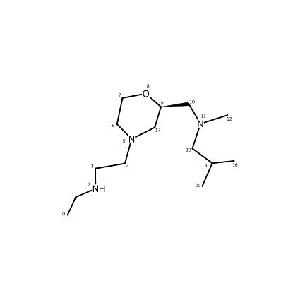 CCNCCN1CCO[C@@H](CN(C)CC(C)C)C1